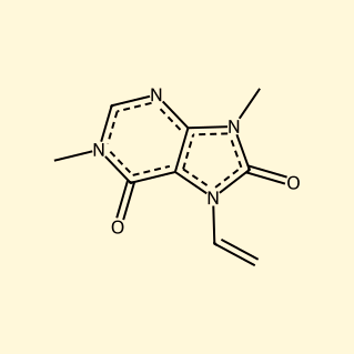 C=Cn1c(=O)n(C)c2ncn(C)c(=O)c21